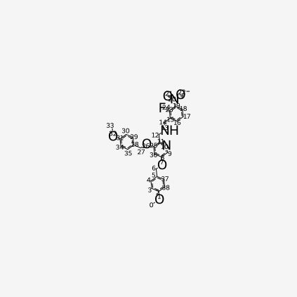 COc1ccc(COc2cnc(CNCc3cccc([N+](=O)[O-])c3F)c(OCc3ccc(OC)cc3)c2)cc1